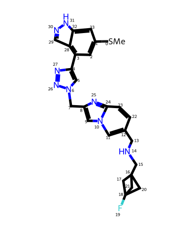 CSc1cc(-c2cn(Cc3cn4cc(CNCC56CC(F)(C5)C6)ccc4n3)nn2)c2cn[nH]c2c1